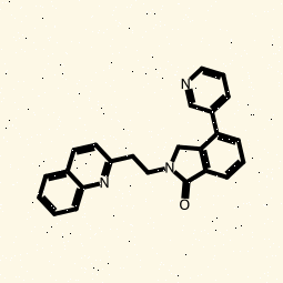 O=C1c2cccc(-c3cccnc3)c2CN1CCc1ccc2ccccc2n1